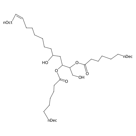 CCCCCCCC/C=C\CCCCCCC(O)CC(OC(=O)CCCCCCCCCCCCCCC)C(CO)OC(=O)CCCCCCCCCCCCCCC